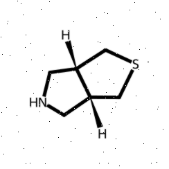 C1NC[C@H]2CSC[C@@H]12